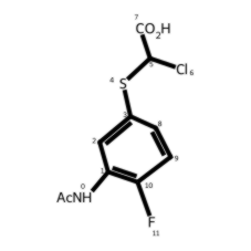 CC(=O)Nc1cc(SC(Cl)C(=O)O)ccc1F